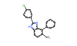 O=[N+]([O-])c1ccc2[nH]c(-c3ccc(Cl)cc3)nc2c1-c1ccccc1